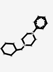 c1ccc(N2CCN(CC3CCCCC3)CC2)cc1